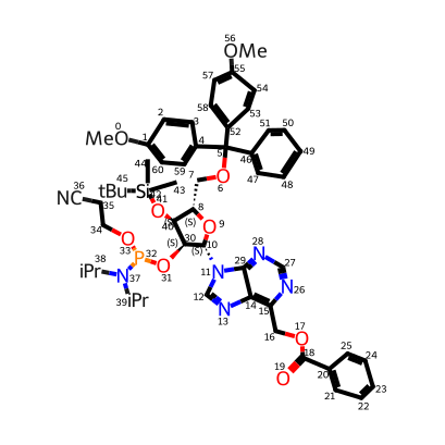 COc1ccc(C(OC[C@@H]2O[C@H](n3cnc4c(COC(=O)c5ccccc5)ncnc43)[C@@H](OP(OCCC#N)N(C(C)C)C(C)C)[C@H]2O[Si](C)(C)C(C)(C)C)(c2ccccc2)c2ccc(OC)cc2)cc1